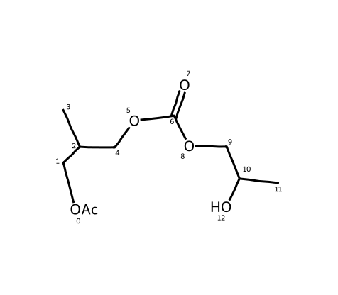 CC(=O)OCC(C)COC(=O)OCC(C)O